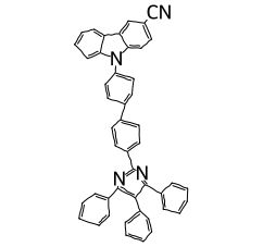 N#Cc1ccc2c(c1)c1ccccc1n2-c1ccc(-c2ccc(-c3nc(-c4ccccc4)c(-c4ccccc4)c(-c4ccccc4)n3)cc2)cc1